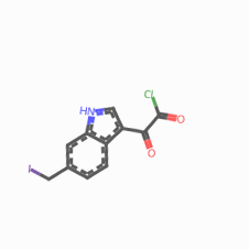 O=C(Cl)C(=O)c1c[nH]c2cc(CI)ccc12